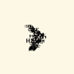 CC(O[PH](=O)[O-])O[PH](=O)OO.CC(O[PH](=O)[O-])O[PH](=O)OO.CC(O[PH](=O)[O-])O[PH](=O)OO.CC(O[PH](=O)[O-])O[PH](=O)OO.[Na+].[Na+].[Na+].[Na+]